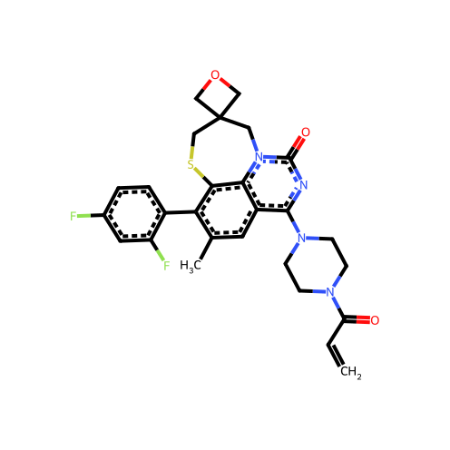 C=CC(=O)N1CCN(c2nc(=O)n3c4c(c(-c5ccc(F)cc5F)c(C)cc24)SCC2(COC2)C3)CC1